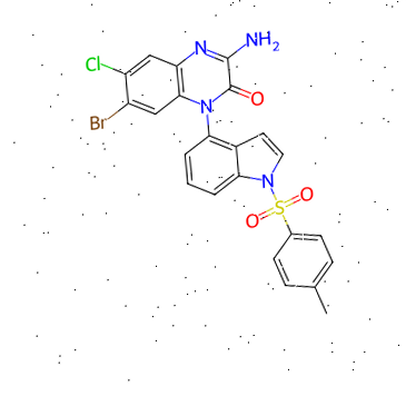 Cc1ccc(S(=O)(=O)n2ccc3c(-n4c(=O)c(N)nc5cc(Cl)c(Br)cc54)cccc32)cc1